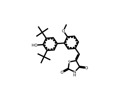 COc1ccc(/C=C2\SC(=O)NC2=O)cc1-c1cc(C(C)(C)C)c(O)c(C(C)(C)C)c1